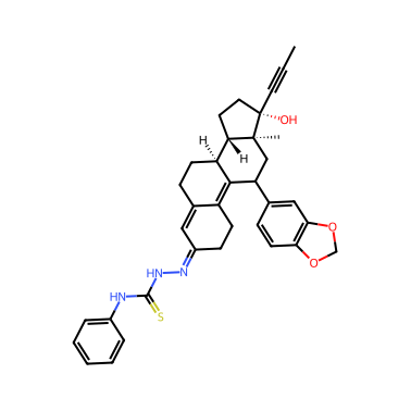 CC#C[C@]1(O)CC[C@H]2[C@@H]3CCC4=CC(=NNC(=S)Nc5ccccc5)CCC4=C3C(c3ccc4c(c3)OCO4)C[C@@]21C